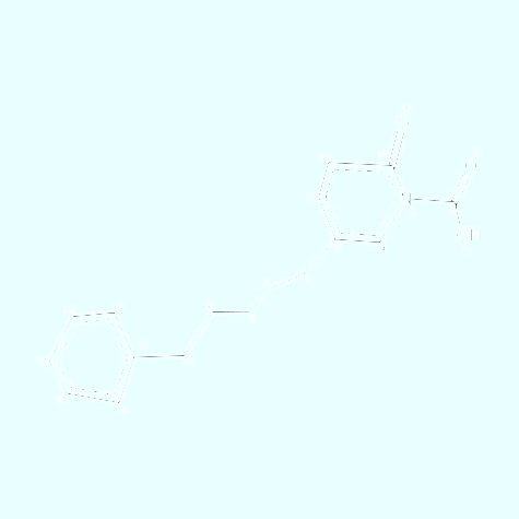 O=C(O)n1cc(CCCCCc2ccccc2)ccc1=O